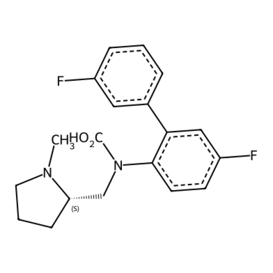 CN1CCC[C@H]1CN(C(=O)O)c1ccc(F)cc1-c1cccc(F)c1